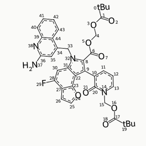 CC(C)(C)C(=O)OCOC(=O)c1c(-c2cccn(COC(=O)C(C)(C)C)c2=O)c2c3occc3c(F)cc2n1Cc1cc(N)nc2ccccc12